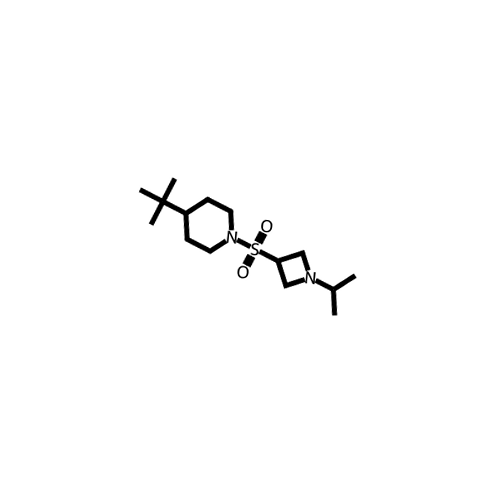 CC(C)N1CC(S(=O)(=O)N2CCC(C(C)(C)C)CC2)C1